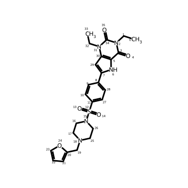 CCn1c(=O)c2[nH]c(-c3ccc(S(=O)(=O)N4CCN(Cc5ccco5)CC4)cc3)cc2n(CC)c1=O